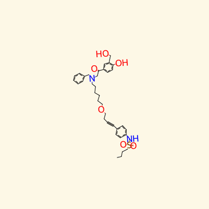 CCCCS(=O)(=O)Nc1ccc(C#CCCOCCCCCCN(CC(=O)c2ccc(O)c(CO)c2)Cc2ccccc2)cc1